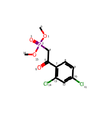 COP(=O)(CC(=O)c1ccc(Cl)cc1Cl)OC